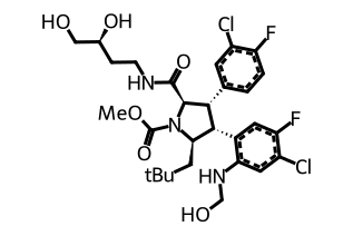 COC(=O)N1[C@H](CC(C)(C)C)[C@@H](c2cc(F)c(Cl)cc2NCO)[C@@H](c2ccc(F)c(Cl)c2)[C@@H]1C(=O)NCC[C@H](O)CO